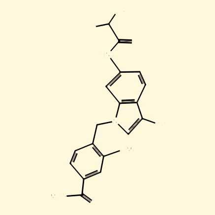 CCCCC(CC)C(=O)Nc1ccc2c(C(C)=O)cn(Cc3ccc(C(=O)OC)cc3OC)c2c1